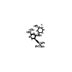 CC(C)[Si](C#Cc1cnc(NC(C)(C)C)nc1N[C@@H]1CC[C@@H](C)[C@H](O)C1)(C(C)C)C(C)C